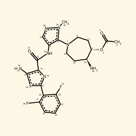 CC(=O)O[C@H]1CCN(c2c(NC(=O)c3nc(-c4c(F)cccc4F)sc3N)cnn2C)CC[C@@H]1N